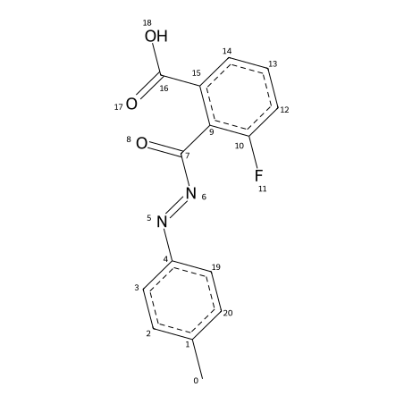 Cc1ccc(N=NC(=O)c2c(F)cccc2C(=O)O)cc1